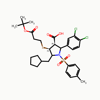 Cc1ccc(S(=O)(=O)N2C(CC3CCCC3)[C@@H](SCCC(=O)OC(C)(C)C)[C@@H](C(=O)O)C2c2ccc(Cl)c(Cl)c2)cc1